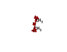 CC1(C)c2cc(/C=C/c3ccc4c(c3)C(c3ccccc3)(c3ccccc3)c3cc(/C=C/c5ccc6c(c5)C(C)(C)c5cc(N(c7cc8ccccc8c8ccccc78)c7cc8ccccc8c8ccccc78)ccc5-6)ccc3-4)ccc2-c2ccc(N(c3cc4ccccc4c4ccccc34)c3cc4ccccc4c4ccccc34)cc21